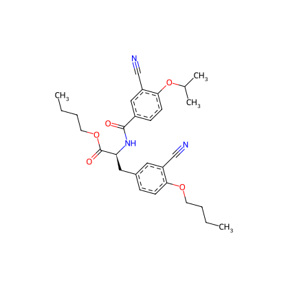 CCCCOC(=O)[C@H](Cc1ccc(OCCCC)c(C#N)c1)NC(=O)c1ccc(OC(C)C)c(C#N)c1